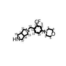 FC(F)(F)c1cc(N2CCOCC2)ccc1CN1CC2CNCC2C1